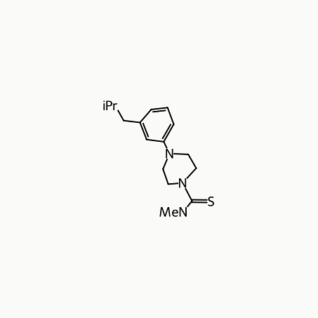 CNC(=S)N1CCN(c2cccc(CC(C)C)c2)CC1